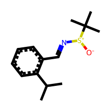 CC(C)c1ccccc1C=N[S+]([O-])C(C)(C)C